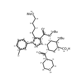 CCCCN(C(=O)c1nnn(-c2cccc(C)c2)c1CCCCOC)[C@H]1C[C@@H](C(=O)N2CCOCC2)CN(C(=O)O)C1C(C)(C)C